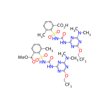 COC(=O)c1cccc(C)c1S(=O)(=O)NC(=O)Nc1nc(OCC(F)(F)F)nc(N(C)C)n1.Cc1cccc(C(=O)O)c1S(=O)(=O)NC(=O)Nc1nc(OCC(F)(F)F)nc(N(C)C)n1